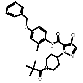 Cc1cc(OCc2ccccc2)ccc1NC(=O)c1c(Cl)cnn1C1CCN(C(=O)C(C)(C)C)CC1